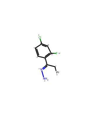 CC(C)C/C(=N\N)c1ccc(Cl)cc1F